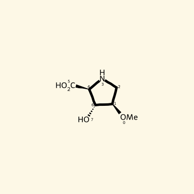 CO[C@@H]1CN[C@H](C(=O)O)[C@H]1O